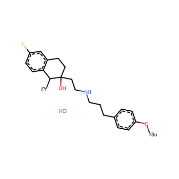 CCCCOc1ccc(CCCNCCC2(O)CCc3cc(F)ccc3C2C(C)C)cc1.Cl